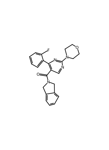 O=C(c1cnc(N2CCOCC2)nc1-c1ccccc1F)N1Cc2ccccc2C1